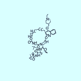 C=C[C@@H]1C[C@]1(NC(=O)[C@@H]1C[C@@H]2CN1C(=O)[C@H](C(C)(C)C)NC(=O)O[C@@H]1C[C@H]1CCCCCc1c(nc3ccccc3c1OCC1CCN(CC)CC1)O2)C(=O)NS(=O)(=O)C1(C)CC1